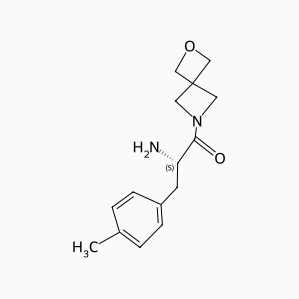 Cc1ccc(C[C@H](N)C(=O)N2CC3(COC3)C2)cc1